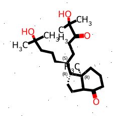 CC(C)(O)CCC[C@@H](CCC(=O)C(C)(C)O)[C@H]1CCC2C(=O)CCC[C@@]21C